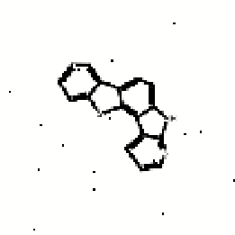 c1ccc2c(c1)sc1c2ccc2[nH]c3ncccc3c21